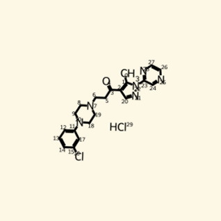 Cc1c(C(=O)CCN2CCN(c3cccc(Cl)c3)CC2)cnn1-c1cnccn1.Cl